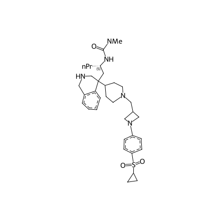 CCC[C@@H](CC1(C2CCN(CC3CN(c4ccc(S(=O)(=O)C5CC5)cc4)C3)CC2)CNCc2ccccc21)NC(=O)NC